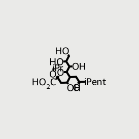 CCCC(C)C(=O)CC1C(O)CC(OC(C)C)(C(=O)O)OC1C(O)C(O)CO